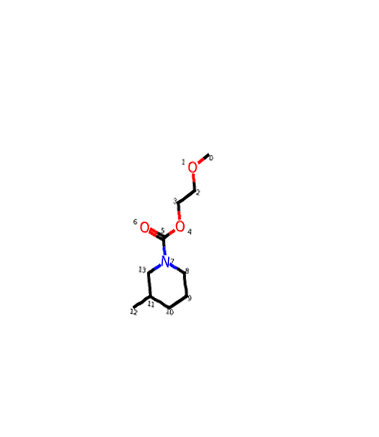 COCCOC(=O)N1CCCC(C)C1